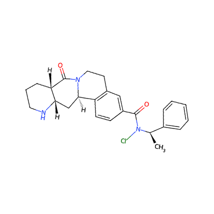 C[C@H](c1ccccc1)N(Cl)C(=O)c1ccc2c(c1)CCN1C(=O)[C@H]3CCCN[C@H]3C[C@H]21